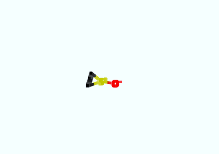 [O-][S+]1C=C1